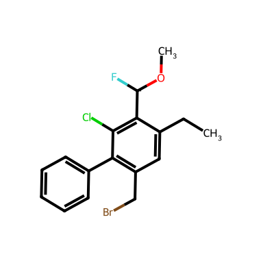 CCc1cc(CBr)c(-c2ccccc2)c(Cl)c1[C](F)OC